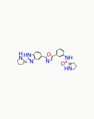 O=C(Nc1cccc(-c2cnc(-c3ccc4[nH]c([C@@H]5CCCN5)nc4c3)o2)c1)[C@@H]1CCCN1